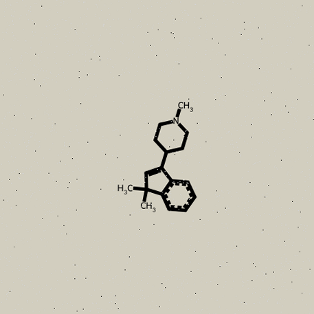 CN1CCC(C2=CC(C)(C)c3ccccc32)CC1